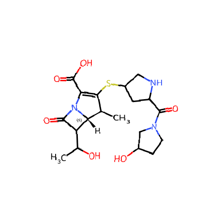 CC(O)C1C(=O)N2C(C(=O)O)=C(SC3CNC(C(=O)N4CCC(O)C4)C3)C(C)[C@H]12